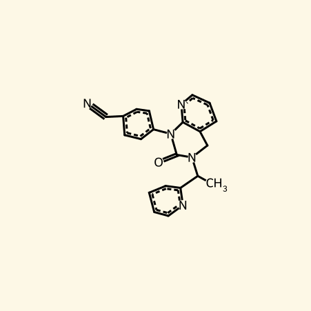 CC(c1ccccn1)N1Cc2cccnc2N(c2ccc(C#N)cc2)C1=O